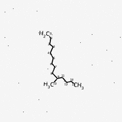 [CH2]CCC[CH]CCCCC(C)CCCC